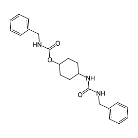 O=C(NCc1ccccc1)NC1CCC(OC(=O)NCc2ccccc2)CC1